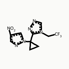 O=[N+]([O-])c1cnn(C2(c3nncn3CC(F)(F)F)CC2)c1